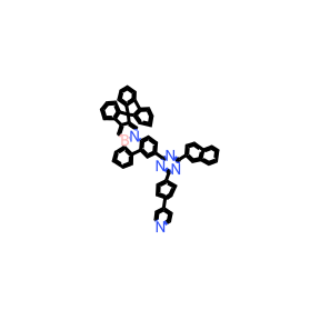 C1=C2C(=CN3B1c1ccccc1-c1cc(-c4nc(-c5ccc(-c6ccncc6)cc5)nc(-c5ccc6ccccc6c5)n4)ccc13)C1(c3ccccc32)c2ccccc2-c2ccccc21